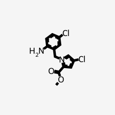 COC(=O)c1cc(Cl)cn1Cc1cc(Cl)ccc1N